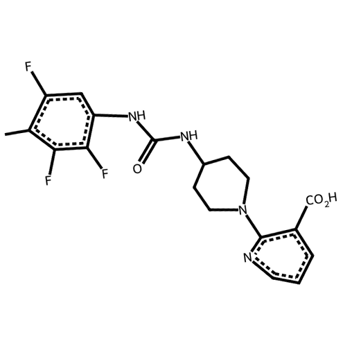 Cc1c(F)cc(NC(=O)NC2CCN(c3ncccc3C(=O)O)CC2)c(F)c1F